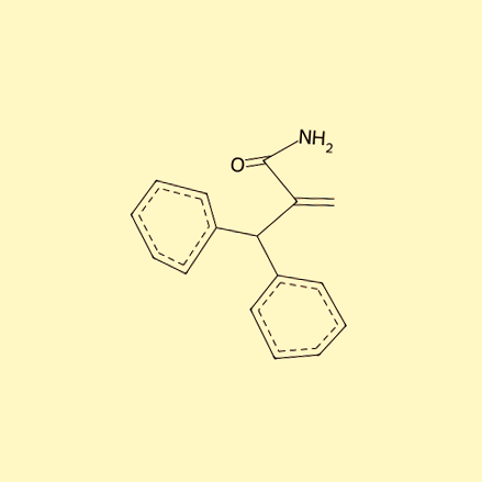 C=C(C(N)=O)C(c1ccccc1)c1ccccc1